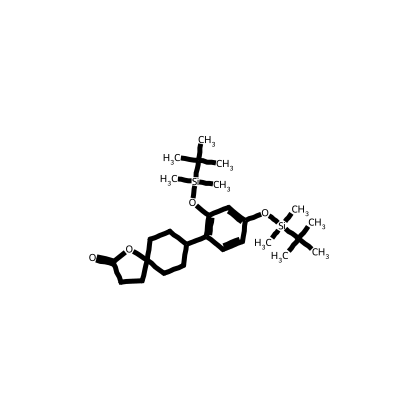 CC(C)(C)[Si](C)(C)Oc1ccc(C2CCC3(CCC(=O)O3)CC2)c(O[Si](C)(C)C(C)(C)C)c1